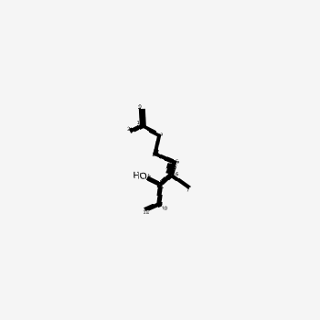 C=C(C)CCC=C(C)C(O)CC